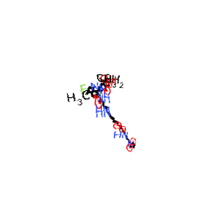 C=C1OCc2c(cc3n(c2=O)Cc2c-3nc3cc(F)c(C)c4c3c2[C@@H](NC(=O)CCCNCC=CCCOCCOCCNC=CCCN2C(=O)C=CC2=O)CC4)[C@@]1(O)CC